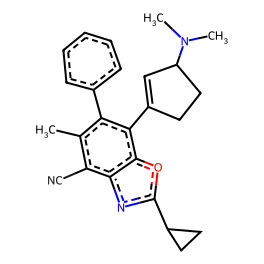 Cc1c(-c2ccccc2)c(C2=CC(N(C)C)CC2)c2oc(C3CC3)nc2c1C#N